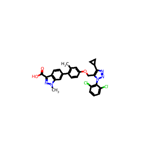 Cc1cc(OCc2c(C3CC3)nnn2-c2c(Cl)cccc2Cl)ccc1-c1ccc2c(C(=O)O)nn(C)c2c1